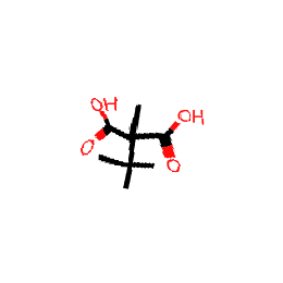 CC(C)(C)C(C)(C(=O)O)C(=O)O